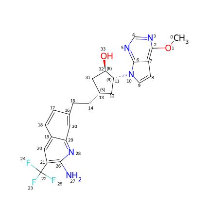 COc1ncnc2c1ccn2[C@@H]1C[C@H](CCc2ccc3cc(C(F)(F)F)c(N)nc3c2)C[C@H]1O